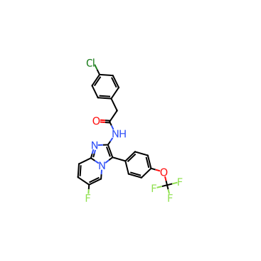 O=C(Cc1ccc(Cl)cc1)Nc1nc2ccc(F)cn2c1-c1ccc(OC(F)(F)F)cc1